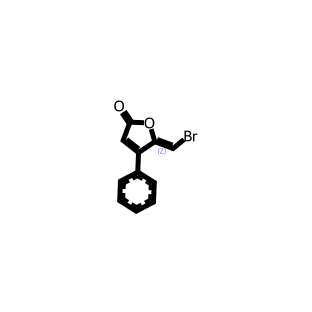 O=C1C=C(c2ccccc2)/C(=C/Br)O1